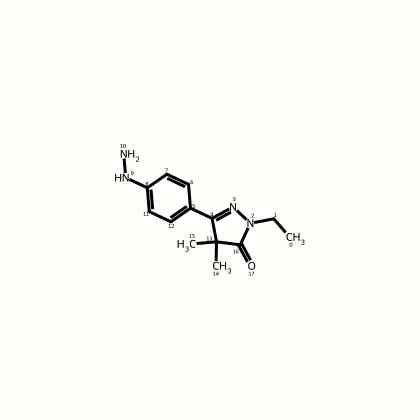 CCN1N=C(c2ccc(NN)cc2)C(C)(C)C1=O